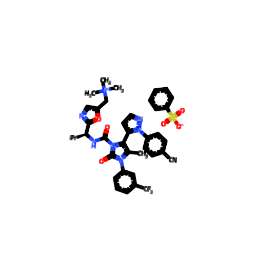 Cc1c(-c2ccnn2-c2ccc(C#N)cc2)n(C(=O)N[C@H](c2ncc(C[N+](C)(C)C)o2)C(C)C)c(=O)n1-c1cccc(C(F)(F)F)c1.O=S(=O)([O-])c1ccccc1